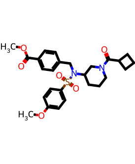 COC(=O)c1ccc(CN(C2CCCN(C(=O)C3CCC3)C2)S(=O)(=O)c2ccc(OC)cc2)cc1